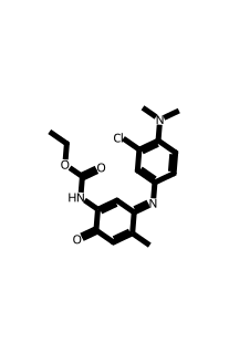 CCOC(=O)NC1=CC(=Nc2ccc(N(C)C)c(Cl)c2)C(C)=CC1=O